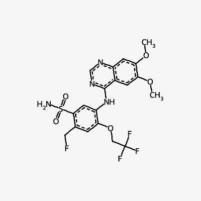 COc1cc2ncnc(Nc3cc(S(N)(=O)=O)c(CF)cc3OCC(F)(F)F)c2cc1OC